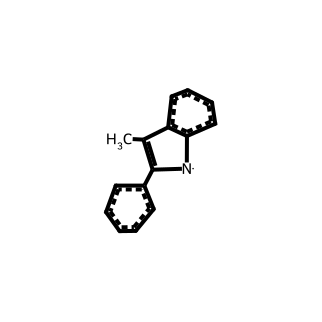 CC1=C(c2ccccc2)[N]c2ccccc21